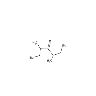 CCC(C)CC(C)C(=O)C(C)CC(C)CC